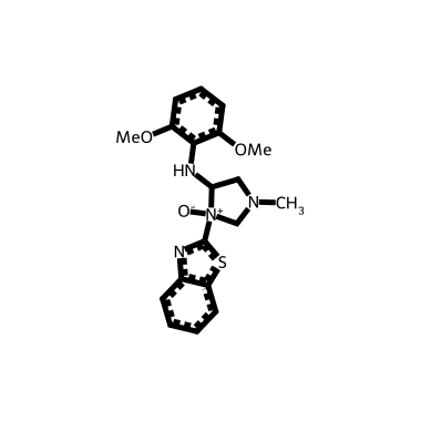 COc1cccc(OC)c1NC1CN(C)C[N+]1([O-])c1nc2ccccc2s1